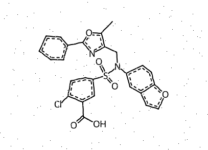 Cc1oc(-c2ccccc2)nc1CN(c1ccc2occc2c1)S(=O)(=O)c1ccc(Cl)c(C(=O)O)c1